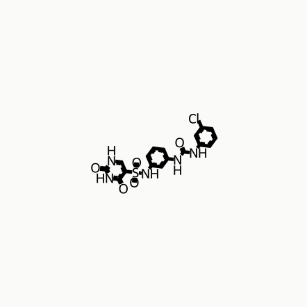 O=C(Nc1cccc(Cl)c1)Nc1cccc(NS(=O)(=O)c2c[nH]c(=O)[nH]c2=O)c1